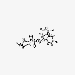 Cn1ccc(NC(=O)OCC2c3ccccc3-c3ccccc32)c1